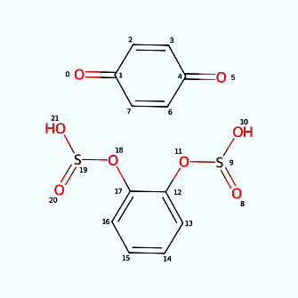 O=C1C=CC(=O)C=C1.O=S(O)Oc1ccccc1OS(=O)O